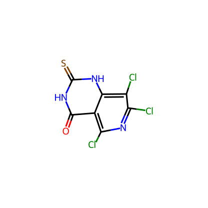 O=c1[nH]c(=S)[nH]c2c(Cl)c(Cl)nc(Cl)c12